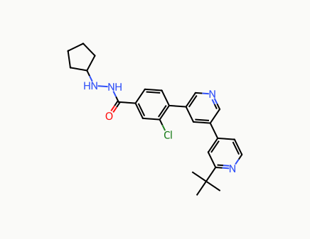 CC(C)(C)c1cc(-c2cncc(-c3ccc(C(=O)NNC4CCCC4)cc3Cl)c2)ccn1